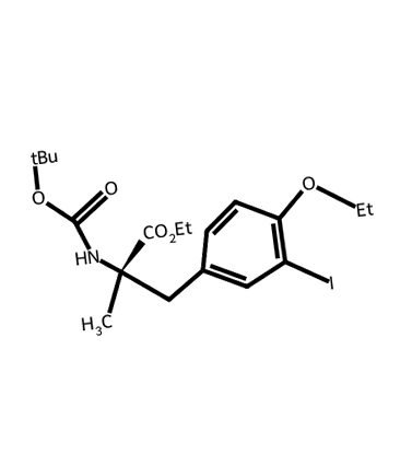 CCOC(=O)[C@](C)(Cc1ccc(OCC)c(I)c1)NC(=O)OC(C)(C)C